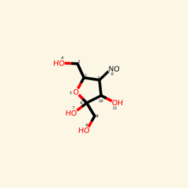 O=NC1C(CO)OC(O)(CO)C1O